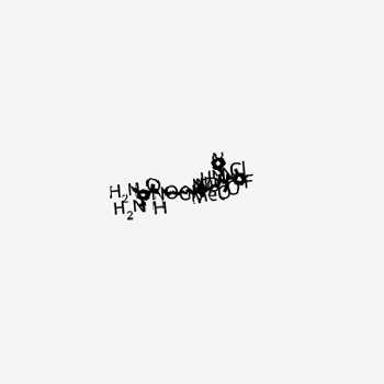 COC(=O)C1=C(COCc2cn(CCOCCOCCNC(=O)c3cc(N)cc(CN)c3)nn2)NC(c2ccncc2)=NC1c1ccc(F)cc1Cl